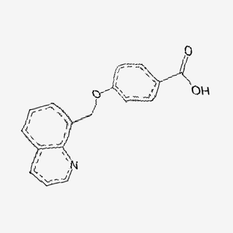 O=C(O)c1ccc(OCc2cccc3cccnc23)cc1